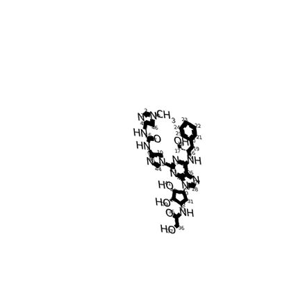 Cn1cnc(NC(=O)Nc2cn(-c3nc(N[C@H](CO)Cc4ccccc4)c4ncn([C@@H]5C[C@H](NC(=O)CO)[C@@H](O)[C@H]5O)c4n3)cn2)c1